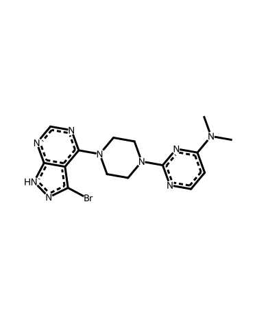 CN(C)c1ccnc(N2CCN(c3ncnc4[nH]nc(Br)c34)CC2)n1